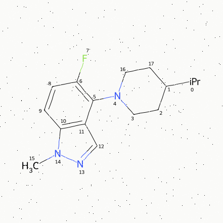 CC(C)C1CCN(c2c(F)ccc3c2cnn3C)CC1